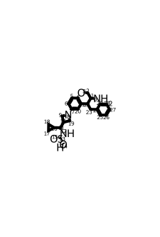 NC1COc2ccc(N3CC(C(N[SH](=O)=O)C4CC4)C3)cc2C1Cc1ccccc1